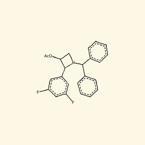 CC(=O)OC1CN(C(c2ccccc2)c2ccccc2)C1c1cc(F)cc(F)c1